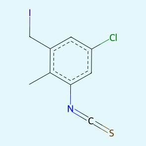 Cc1c(CI)cc(Cl)cc1N=C=S